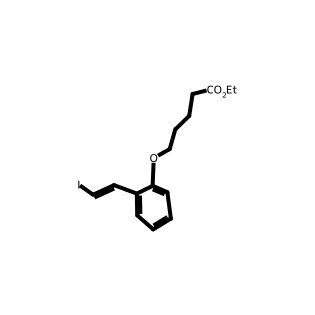 CCOC(=O)CCCCOc1ccccc1C=CI